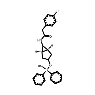 CC(C)(C)[Si](OC1C[C@@H]2C(NC(=O)Cc3ccc(Cl)cc3)[C@@H]2C1)(c1ccccc1)c1ccccc1